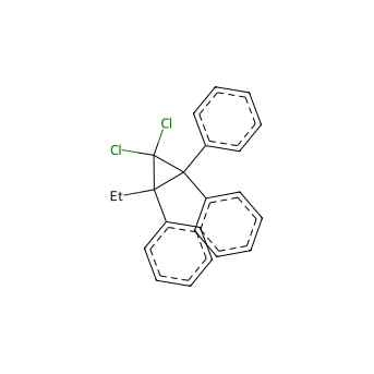 CCC1(c2ccccc2)C(Cl)(Cl)C1(c1ccccc1)c1ccccc1